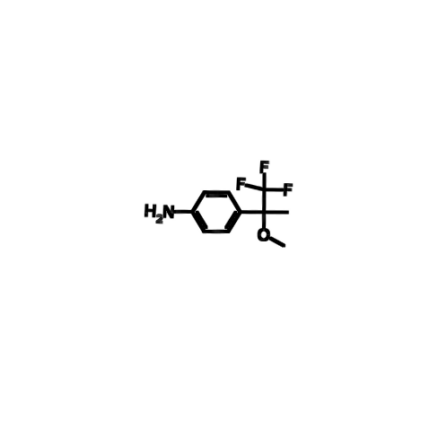 COC(C)(c1ccc(N)cc1)C(F)(F)F